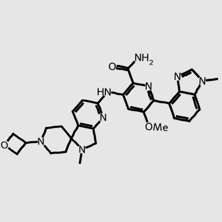 COc1cc(Nc2ccc3c(n2)CN(C)C32CCN(C3COC3)CC2)c(C(N)=O)nc1-c1cccc2c1ncn2C